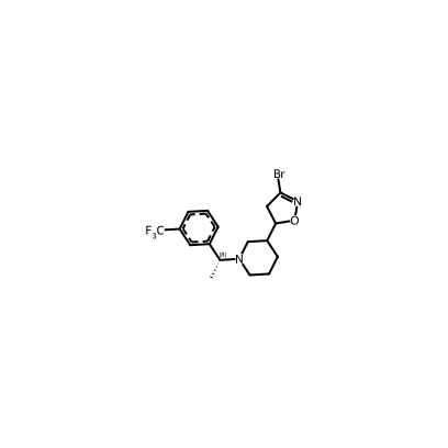 C[C@H](c1cccc(C(F)(F)F)c1)N1CCCC(C2CC(Br)=NO2)C1